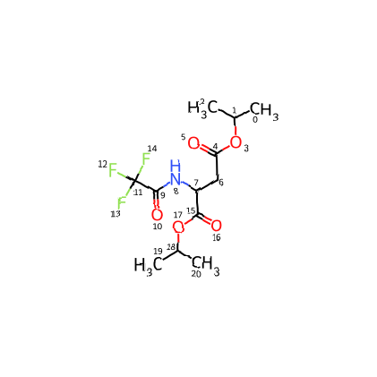 CC(C)OC(=O)CC(NC(=O)C(F)(F)F)C(=O)OC(C)C